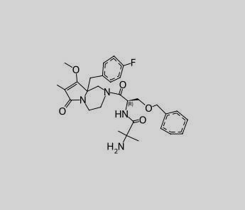 COC1=C(C)C(=O)N2CCN(C(=O)[C@@H](COCc3ccccc3)NC(=O)C(C)(C)N)CC12Cc1ccc(F)cc1